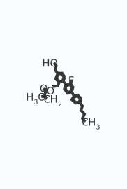 C=C(C)C(=O)OCCc1cc(CCO)ccc1-c1ccc(-c2ccc(CCCCC)cc2)cc1F